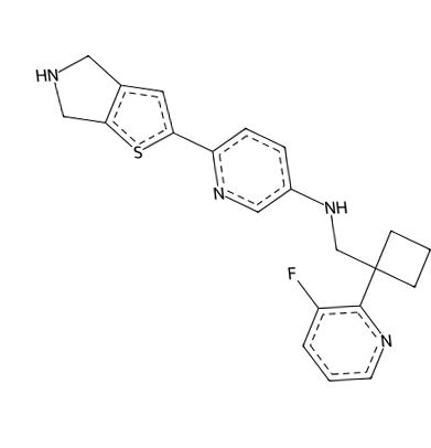 Fc1cccnc1C1(CNc2ccc(-c3cc4c(s3)CNC4)nc2)CCC1